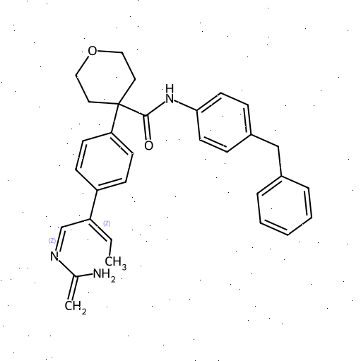 C=C(N)/N=C\C(=C/C)c1ccc(C2(C(=O)Nc3ccc(Cc4ccccc4)cc3)CCOCC2)cc1